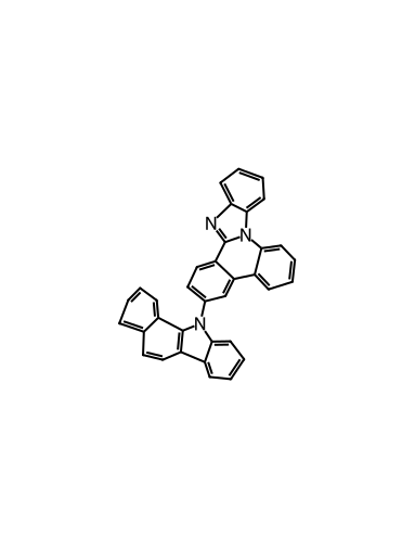 c1ccc2c(c1)ccc1c3ccccc3n(-c3ccc4c(c3)c3ccccc3n3c5ccccc5nc43)c21